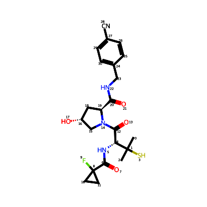 CC(C)(S)[C@H](NC(=O)C1(F)CC1)C(=O)N1C[C@H](O)C[C@H]1C(=O)NCc1ccc(C#N)cc1